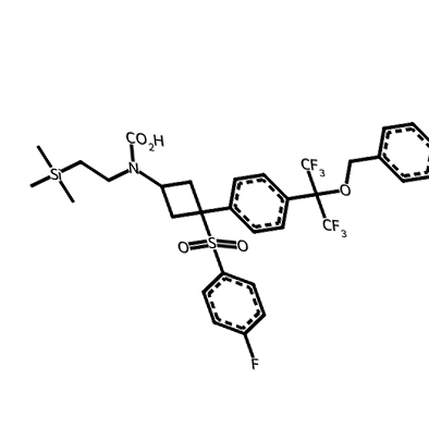 C[Si](C)(C)CCN(C(=O)O)C1CC(c2ccc(C(OCc3ccccc3)(C(F)(F)F)C(F)(F)F)cc2)(S(=O)(=O)c2ccc(F)cc2)C1